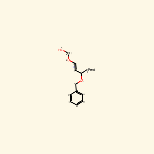 CCCCCC(/C=C/OBO)OCc1ccccc1